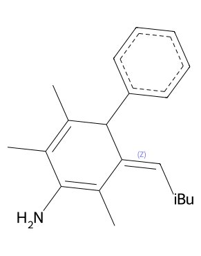 CCC(C)/C=C1\C(C)=C(N)C(C)=C(C)C1c1ccccc1